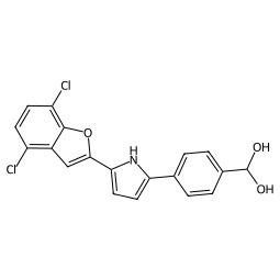 OC(O)c1ccc(-c2ccc(-c3cc4c(Cl)ccc(Cl)c4o3)[nH]2)cc1